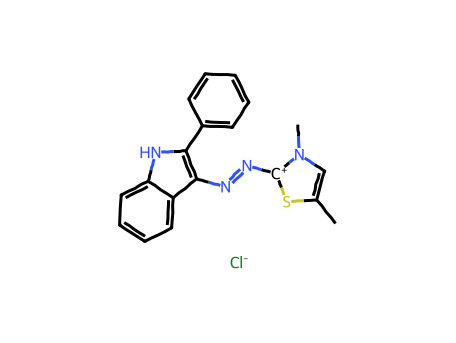 Cc1cn(C)[c+](N=Nc2c(-c3ccccc3)[nH]c3ccccc23)s1.[Cl-]